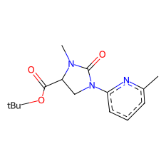 Cc1cccc(N2CC(C(=O)OC(C)(C)C)N(C)C2=O)n1